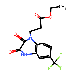 CCOC(=O)CCn1c(=O)c(=O)[nH]c2cc(C(F)(F)F)ccc21